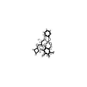 C[C@H](N[P@@](=O)(Oc1ccccc1)Oc1c(F)c(F)c(F)c(F)c1F)C(=O)OC1CCC1